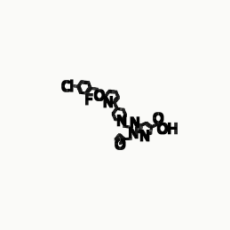 O=C(O)c1cnc2c(c1)nc(CN1CCC(c3cccc(OCc4ccc(Cl)cc4F)n3)CC1)n2CC1CCO1